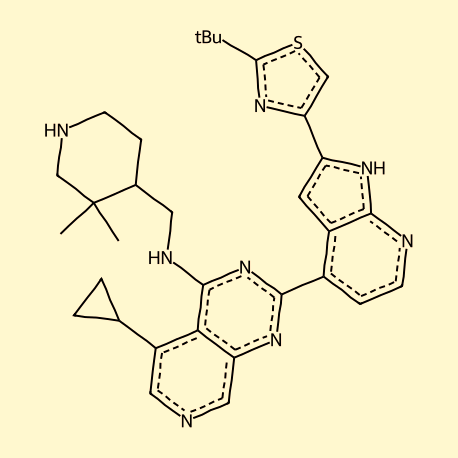 CC(C)(C)c1nc(-c2cc3c(-c4nc(NCC5CCNCC5(C)C)c5c(C6CC6)cncc5n4)ccnc3[nH]2)cs1